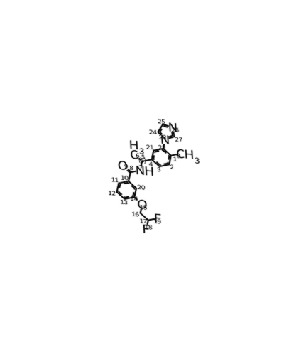 Cc1ccc([C@H](C)NC(=O)c2cccc(OCC(F)F)c2)cc1-n1ccnc1